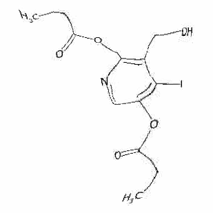 CCC(=O)Oc1cnc(OC(=O)CC)c(CO)c1I